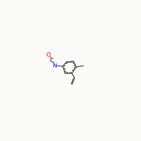 C=Cc1cc(N=C=O)ccc1C